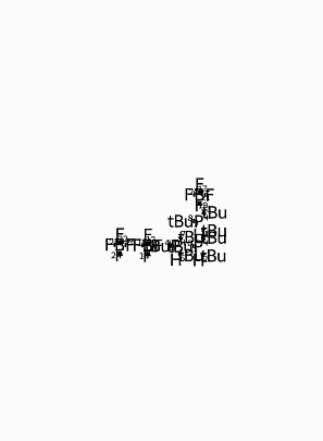 CC(C)(C)[PH+](C(C)(C)C)C(C)(C)C.CC(C)(C)[PH+](C(C)(C)C)C(C)(C)C.CC(C)(C)[PH+](C(C)(C)C)C(C)(C)C.F[B-](F)(F)F.F[B-](F)(F)F.F[B-](F)(F)F